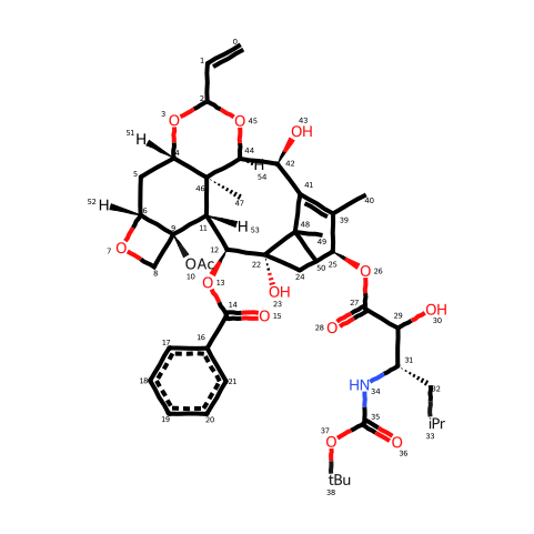 C=CC1O[C@H]2C[C@H]3OC[C@@]3(OC(C)=O)[C@H]3[C@H](OC(=O)c4ccccc4)[C@]4(O)C[C@H](OC(=O)C(O)[C@H](CC(C)C)NC(=O)OC(C)(C)C)C(C)=C([C@H](O)[C@H](O1)[C@]23C)C4(C)C